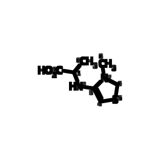 CC(NC1=CSCN1C)C(=O)O